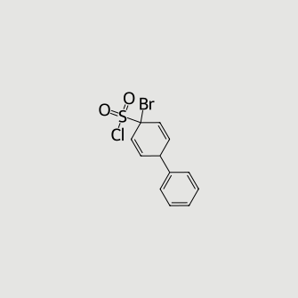 O=S(=O)(Cl)C1(Br)C=CC(c2ccccc2)C=C1